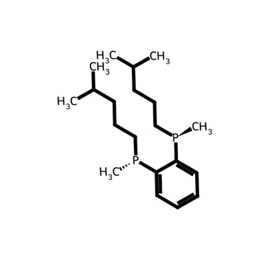 CC(C)CCC[P@@](C)c1ccccc1[P@](C)CCCC(C)C